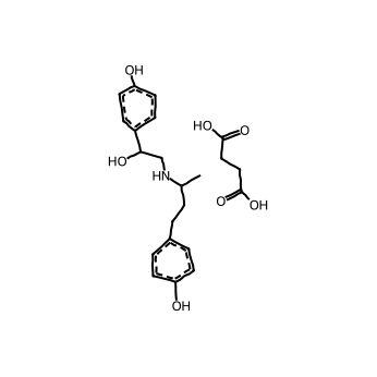 CC(CCc1ccc(O)cc1)NCC(O)c1ccc(O)cc1.O=C(O)CCC(=O)O